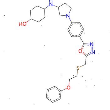 OC1CCC(NC2CCN(c3ccc(-c4nnc(CSCCOc5ccccc5)o4)cc3)C2)CC1